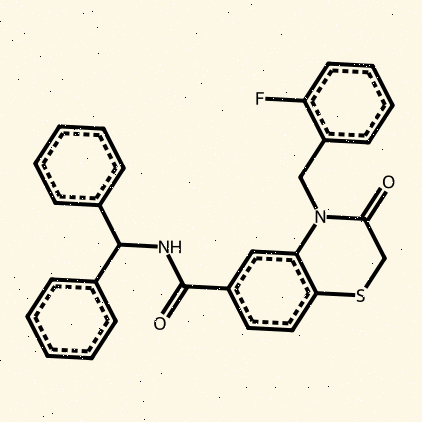 O=C(NC(c1ccccc1)c1ccccc1)c1ccc2c(c1)N(Cc1ccccc1F)C(=O)CS2